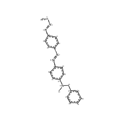 CCCCC/N=N/c1ccc(/N=N/c2ccc(N(C)Cc3ccccc3)cc2)cc1